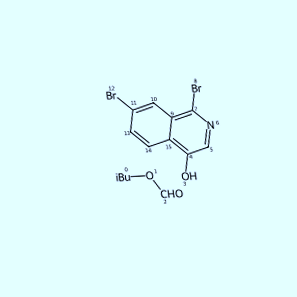 CCC(C)OC=O.Oc1cnc(Br)c2cc(Br)ccc12